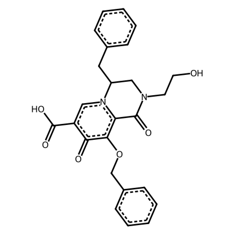 O=C(O)c1cn2c(c(OCc3ccccc3)c1=O)C(=O)N(CCO)CC2Cc1ccccc1